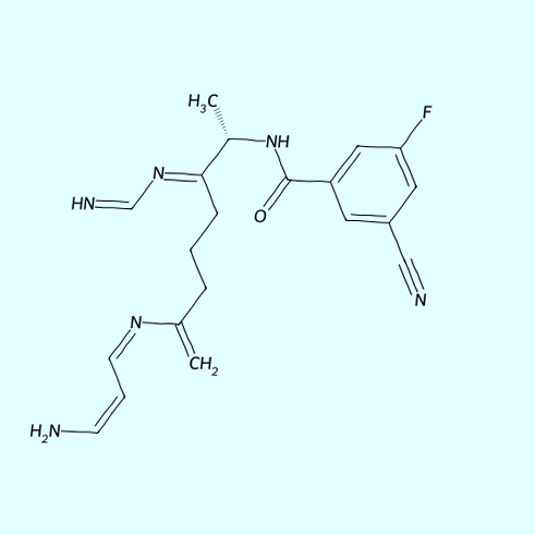 C=C(CCC/C(=N\C=N)[C@H](C)NC(=O)c1cc(F)cc(C#N)c1)/N=C\C=C/N